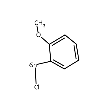 COc1cccc[c]1[Sn][Cl]